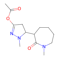 CC(=O)OC1=NN(C)C(C2CCCCN(C)C2=O)C1